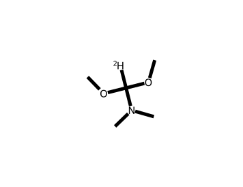 [2H]C(OC)(OC)N(C)C